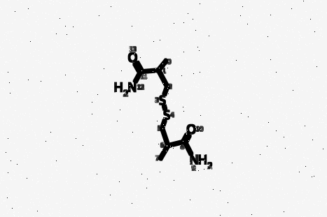 CC(CSSCC(C)C(N)=O)C(N)=O